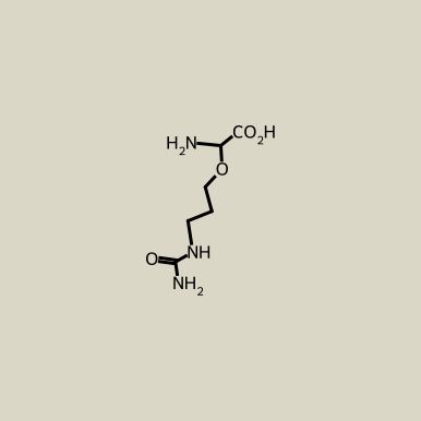 NC(=O)NCCCOC(N)C(=O)O